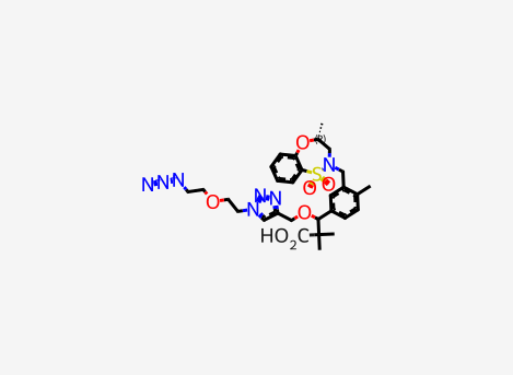 Cc1ccc(C(OCc2cn(CCOCCN=[N+]=[N-])nn2)C(C)(C)C(=O)O)cc1CN1C[C@@H](C)Oc2ccccc2S1(=O)=O